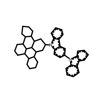 c1ccc2c(c1)c1ccccc1n2-c1ccc2c(c1)c1ccccc1n2C1CC2C3CCCCC3C3CCCC4C5CCCCC5C(C1)C2C34